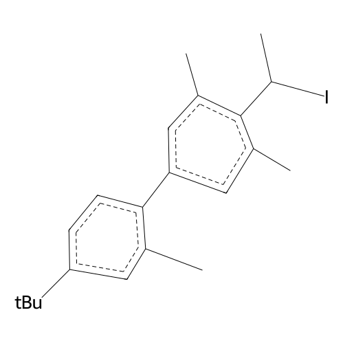 Cc1cc(C(C)(C)C)ccc1-c1cc(C)c(C(C)I)c(C)c1